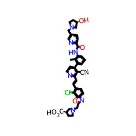 Cc1c(NC(=O)c2ccc(CN3CC[C@@H](O)C3)cn2)cccc1-c1ccnc(/C=C/c2ccc3nc(CN4CC[C@@H](C(=O)O)C4)oc3c2Cl)c1C#N